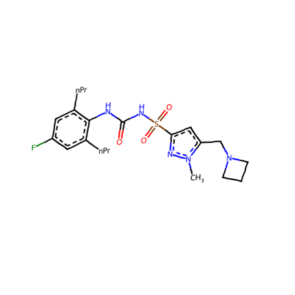 CCCc1cc(F)cc(CCC)c1NC(=O)NS(=O)(=O)c1cc(CN2CCC2)n(C)n1